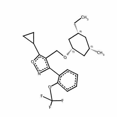 CC[C@@H]1C[C@H](C)C[C@H](OCc2c(-c3ccccc3OC(F)(F)F)noc2C2CC2)C1